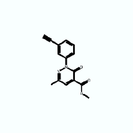 C#Cc1cccc(-n2nc(C)cc(C(=O)OC)c2=O)c1